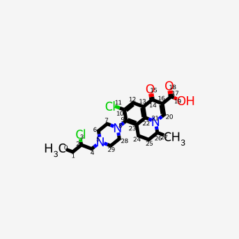 CCC(Cl)CN1CCN(c2c(Cl)cc3c(=O)c(C(=O)O)cn4c3c2CCC4C)CC1